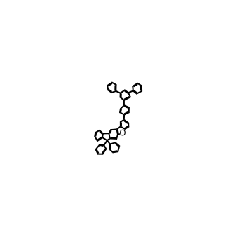 c1ccc(-c2cc(-c3ccccc3)cc(-c3ccc(-c4ccc5oc6cc7c(cc6c5c4)-c4ccccc4C7(c4ccccc4)c4ccccc4)cc3)c2)cc1